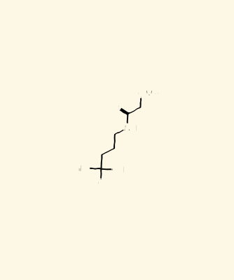 CCCC(C)(C)CCCNC(=O)COC